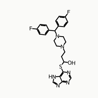 OC(CCN1CCN(C(c2ccc(F)cc2)c2ccc(F)cc2)CC1)Sc1ncnc2nc[nH]c12